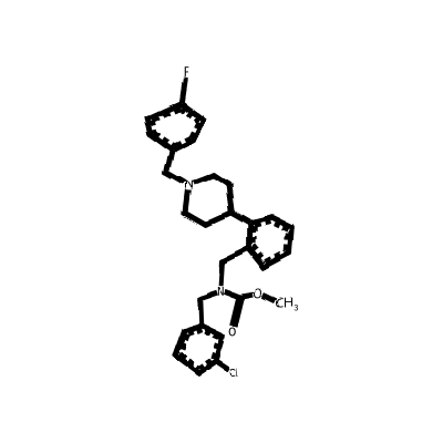 COC(=O)N(Cc1cccc(Cl)c1)Cc1ccccc1C1CCN(Cc2ccc(F)cc2)CC1